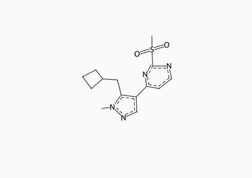 Cn1ncc(-c2ccnc(S(C)(=O)=O)n2)c1CC1CCC1